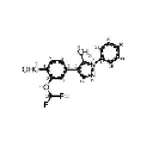 Cc1c(-c2ccc(C=O)c(OC(F)F)c2)cnn1-c1ccccc1